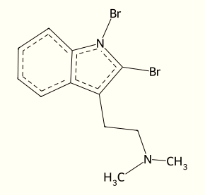 CN(C)CCc1c(Br)n(Br)c2ccccc12